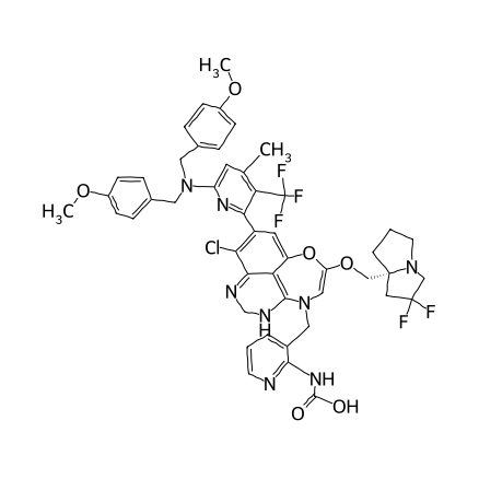 COc1ccc(CN(Cc2ccc(OC)cc2)c2cc(C)c(C(F)(F)F)c(-c3cc4c5c(c3Cl)=NCNC=5N(Cc3cccnc3NC(=O)O)C=C(OC[C@]35CCCN3CC(F)(F)C5)O4)n2)cc1